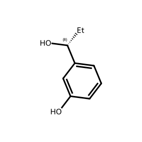 [CH2]C[C@@H](O)c1cccc(O)c1